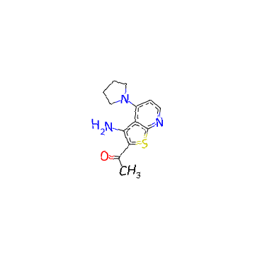 CC(=O)c1sc2nccc(N3CCCC3)c2c1N